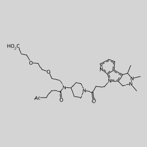 CC(=O)CCC(=O)N(CCOCCOCCC(=O)O)C1CCN(C(=O)CCn2c3c(c4cccnc42)C(C)N(C)N(C)C3)CC1